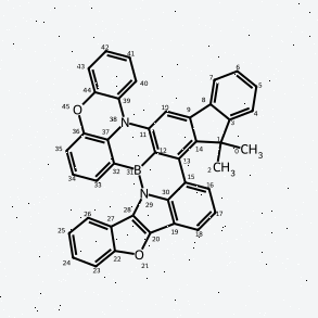 CC1(C)c2ccccc2-c2cc3c4c(c21)-c1cccc2c5oc6ccccc6c5n(c12)B4c1cccc2c1N3c1ccccc1O2